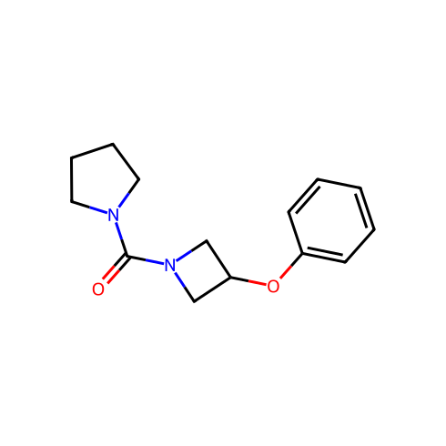 O=C(N1CCCC1)N1CC(Oc2ccccc2)C1